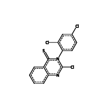 S=c1c2ccccc2nc(Cl)n1-c1ccc(Cl)cc1Cl